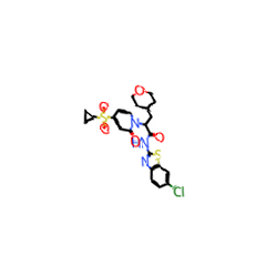 O=C(Nc1nc2ccc(Cl)cc2s1)C(CC1CCOCC1)n1ccc(S(=O)(=O)C2CC2)cc1=O